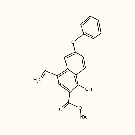 C=Cc1nc(C(=O)OCCCC)c(O)c2ccc(Oc3ccccc3)cc12